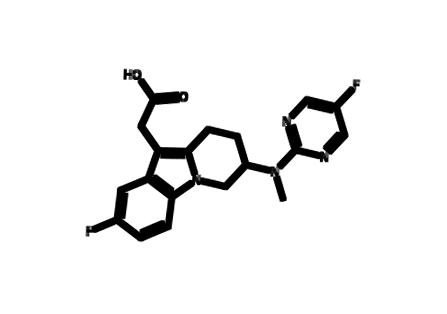 CN(c1ncc(F)cn1)C1CCc2c(CC(=O)O)c3cc(F)ccc3n2C1